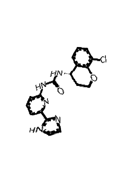 O=C(Nc1cccc(-c2ncc[nH]2)n1)N[C@H]1CCOc2c(Cl)cccc21